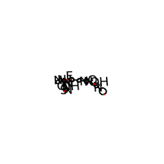 O=C(Nc1nccs1)C(c1ncn2c1CCC2)n1cc2c(F)cc(-c3ccc(N4CCN(C(=O)CC5(O)CCN(C6CCCCCCCC6)CC5)CC4)cc3)cc2n1